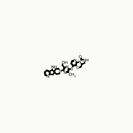 Cc1nc(N2CCC3(CC2)Cc2ncccc2[C@H]3N)c(CO)nc1Sc1ccnc2c1OCC1CNC(=O)N21